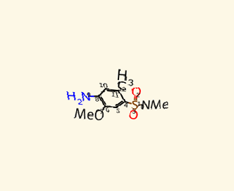 CNS(=O)(=O)c1cc(OC)c(N)cc1C